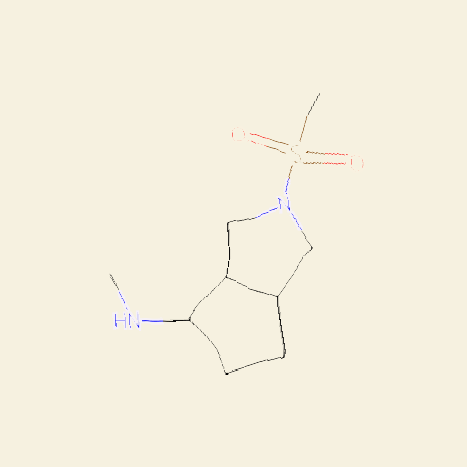 CNC1CCC2CN(S(C)(=O)=O)CC21